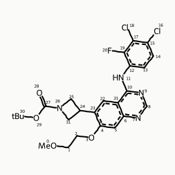 COCCOc1cc2ncnc(Nc3ccc(Cl)c(Cl)c3F)c2cc1C1CN(C(=O)OC(C)(C)C)C1